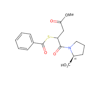 COC(=O)CC(SC(=O)c1ccccc1)C(=O)N1CCC[C@H]1C(=O)O